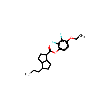 CCCC1CCC2C(C(=O)Oc3ccc(OCC)c(F)c3F)CCC12